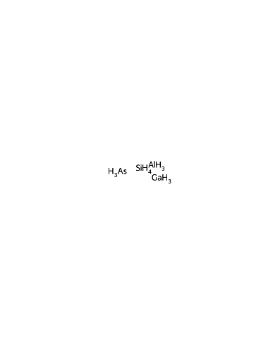 [AlH3].[AsH3].[GaH3].[SiH4]